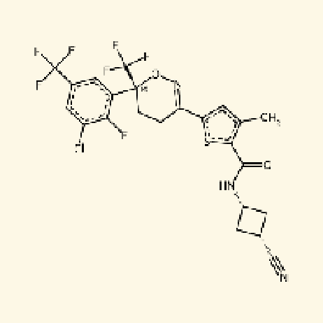 Cc1cc(C2=NO[C@](c3cc(C(F)(F)F)cc(Cl)c3F)(C(F)(F)F)CC2)sc1C(=O)N[C@H]1C[C@@H](C#N)C1